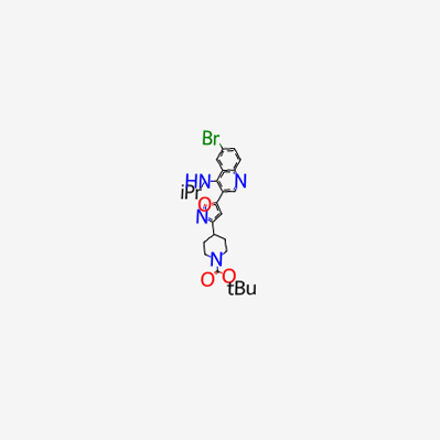 CC(C)Nc1c(-c2cc(C3CCN(C(=O)OC(C)(C)C)CC3)no2)cnc2ccc(Br)cc12